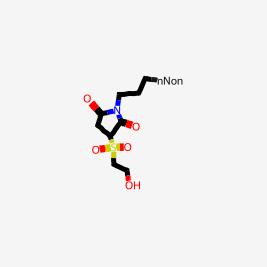 CCCCCCCCCCCCN1C(=O)CC(S(=O)(=O)CCO)C1=O